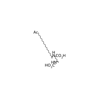 C=C(CCC(NC(=C)CCCCCCCCCCCCCCCCC(C)=O)C(=O)O)NCC(=O)O